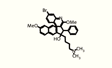 COc1ccc2cc(C(O)(CCCCN(C)C)C(c3ccccc3)c3cc4ccc(Br)cc4nc3OC)ccc2c1